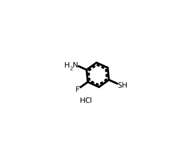 Cl.Nc1ccc(S)cc1F